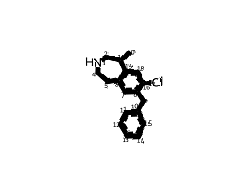 CC1CNCCc2cc(Cc3ccccc3)c(Cl)cc21